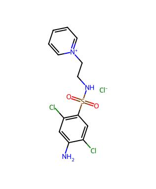 Nc1cc(Cl)c(S(=O)(=O)NCC[n+]2ccccc2)cc1Cl.[Cl-]